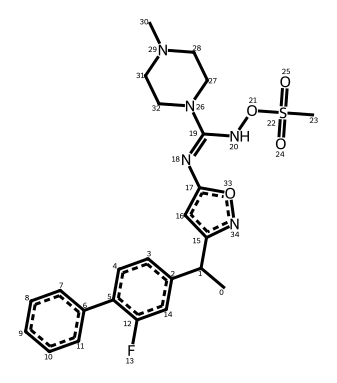 CC(c1ccc(-c2ccccc2)c(F)c1)c1cc(N=C(NOS(C)(=O)=O)N2CCN(C)CC2)on1